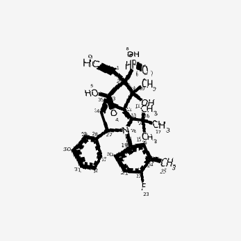 C#CC(C(=O)O)([PH](=O)O)C(C)(O)C1=C(C(C)(C)C)N(c2ccc(F)c(C)c2)C(c2ccccc2)C=C1